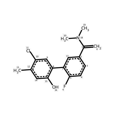 C=C(c1ccc(F)c(-c2cc(Cl)c(C)cc2O)c1)N(C)C